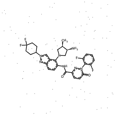 C[C@@H]1CN(c2c(NC(=O)c3ccc(=O)n(-c4c(F)cccc4F)n3)ccc3nn(C4CCC(F)(F)CC4)cc23)C[C@@H]1N